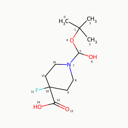 CC(C)(C)OC(O)N1CCC(F)(C(=O)O)CC1